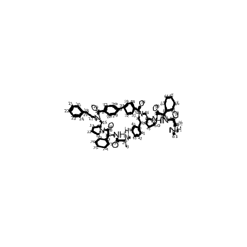 CN[C@@H](C)C(=O)N[C@H](C(=O)N1CCC[C@H]1CN(CCc1ccccc1)C(=O)c1ccc(-c2ccc(C(=O)N(CCc3ccccc3)C[C@@H]3CCCN3C(=O)[C@@H](NC(=O)[C@H](C)NC)C3CCCCC3)cc2)cc1)C1CCCCC1